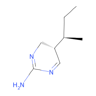 CC[C@@H](C)[C@@H]1C=NC(N)=NC1